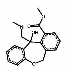 CNCC1(O)c2ccccc2OCc2cccc(C(=O)OC)c21